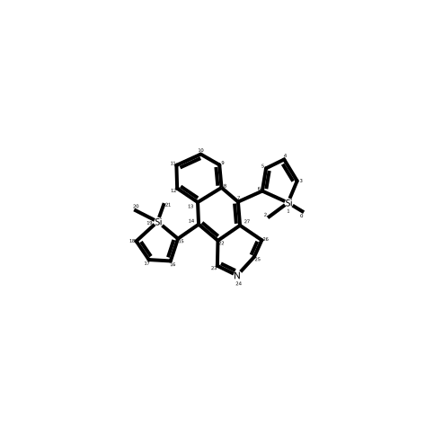 C[Si]1(C)C=CC=C1c1c2ccccc2c(C2=CC=C[Si]2(C)C)c2cnccc12